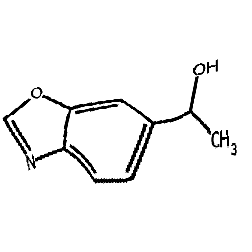 CC(O)c1ccc2ncoc2c1